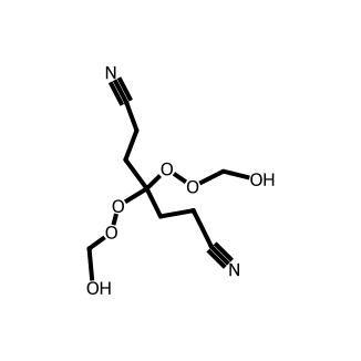 N#CCCC(CCC#N)(OOCO)OOCO